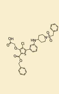 O=C(O)COc1c(C(=O)OCc2ccccc2)sc(-c2cccc(NC3CCN(S(=O)(=O)Cc4ccccc4)CC3)c2)c1Cl